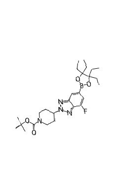 CCC1(CC)OB(c2cc(F)c3nn(C4CCN(C(=O)OC(C)(C)C)CC4)nc3c2)OC1(CC)CC